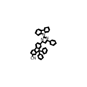 N#Cc1ccc2c(c1)C(c1ccccc1)(c1ccccc1)c1cc(-c3cc(-c4ccccc4)nc(-n4c5ccccc5c5ccccc54)n3)ccc1-2